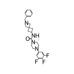 C[C@@H]1CN(c2cc(F)c(F)c(F)c2)CCN1C(=O)NC1CC2(C1)CN(Cc1ccccc1)C2